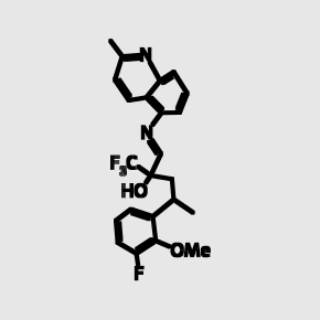 COc1c(F)cccc1C(C)CC(O)(C=Nc1cccc2nc(C)ccc12)C(F)(F)F